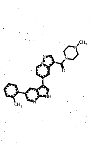 Cc1ccccc1-c1cnc2[nH]cc(-c3ccn4ncc(C(=O)N5CCN(C)CC5)c4c3)c2c1